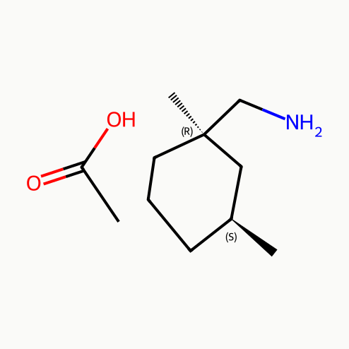 CC(=O)O.C[C@H]1CCC[C@@](C)(CN)C1